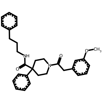 COc1cccc(CC(=O)N2CCC(C(=O)NCCCc3ccccc3)(c3ccccc3)CC2)c1